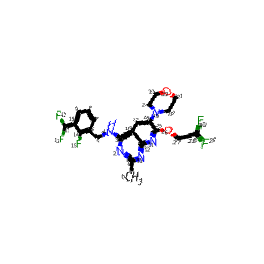 Cc1nc(NCc2cccc(C(F)F)c2F)c2cc(N3CCOCC3)c(OCC(F)F)nc2n1